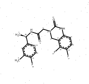 Cc1cc([C@@H](C)NC(=O)CN2Cc3c(ccc(F)c3F)NC2=O)ncc1F